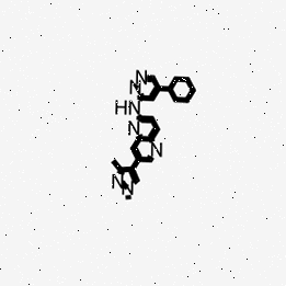 Cc1nn(C)cc1-c1cnc2ccc(Nc3cc(C4CCCCC4)cnn3)nc2c1